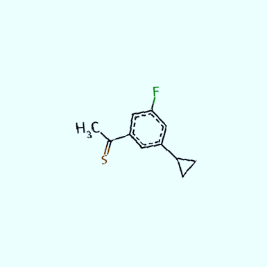 CC(=S)c1cc(F)cc(C2CC2)c1